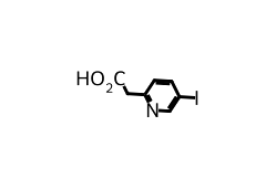 O=C(O)Cc1ccc(I)cn1